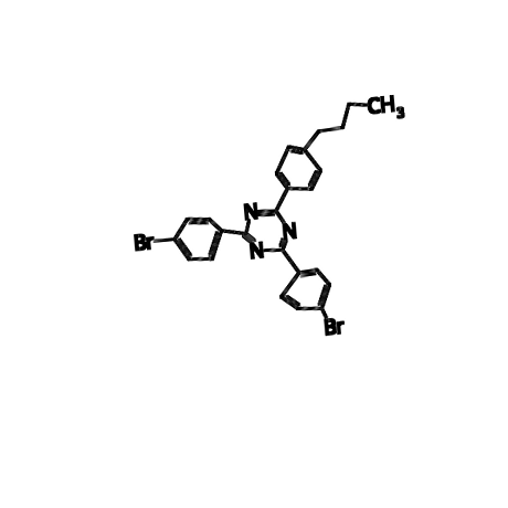 CCCCc1ccc(-c2nc(-c3ccc(Br)cc3)nc(-c3ccc(Br)cc3)n2)cc1